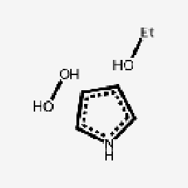 CCO.OO.c1cc[nH]c1